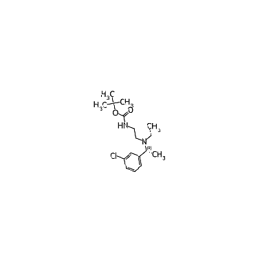 CCN(CCNC(=O)OC(C)(C)C)[C@H](C)c1cccc(Cl)c1